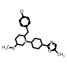 CSC1CCC(Cc2ccc(Cl)cc2)N(C2CCC(c3ncc(C)o3)CC2)C1